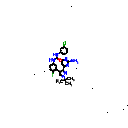 CC(C)(C)n1cc(-c2cc(NC(=O)Nc3cccc(Cl)c3)ccc2F)c(-c2ccnc(N)n2)n1